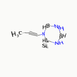 CC#CN1BNBNB1.[Si]